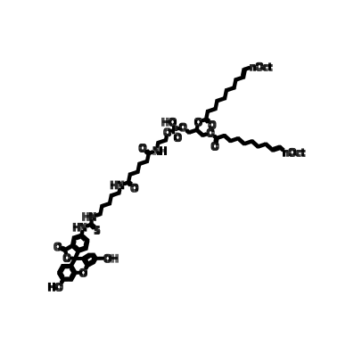 CCCCCCCC/C=C/CCCCCCCC(=O)OCC(COP(=O)(O)OCCNC(=O)CCCCC(=O)NCCCCCNC(=S)Nc1ccc2c(c1)C(=O)OC21c2ccc(O)cc2Oc2cc(O)ccc21)OC(=O)CCCCCCC/C=C/CCCCCCCC